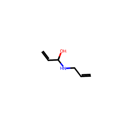 C=CCNC(O)C=C